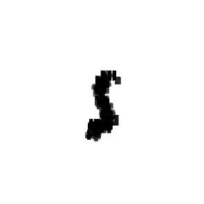 Nc1nc2ccc(-c3cn(Cc4ccc(C(=O)NNC(=O)C(F)F)c(Cl)c4)nn3)cc2s1